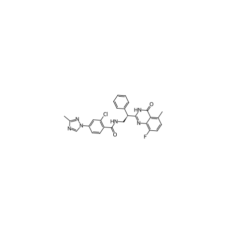 Cc1ncn(-c2ccc(C(=O)NC[C@@H](c3ccccc3)c3nc4c(F)ccc(C)c4c(=O)[nH]3)c(Cl)c2)n1